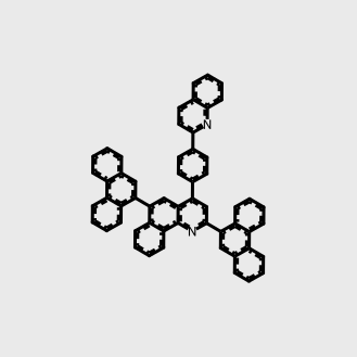 c1ccc2nc(-c3ccc(-c4cc(-c5cc6ccccc6c6ccccc56)nc5c4cc(-c4cc6ccccc6c6ccccc46)c4ccccc45)cc3)ccc2c1